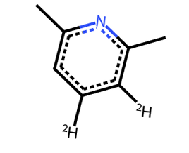 [2H]c1cc(C)nc(C)c1[2H]